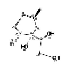 CC(C)[C@@H]1CC[C@@H](C)C[C@@]1(O)C(O)CO